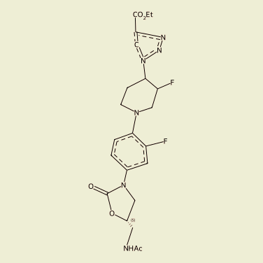 CCOC(=O)c1cn(C2CCN(c3ccc(N4C[C@H](CNC(C)=O)OC4=O)cc3F)CC2F)nn1